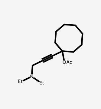 CCN(CC)CC#CC1(OC(C)=O)CCCCCCC1